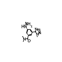 CN(C)C(=O)c1cc(NN)cc(-c2nnnn2C)c1